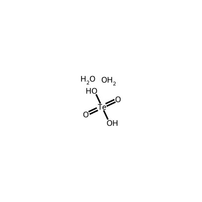 O.O.O=[Te](=O)(O)O